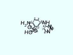 Nc1ccc(Nc2ccnnn2)cc1S(=O)(=O)O